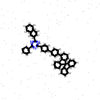 c1ccc(-c2nc(-c3ccc(-c4ccc(-c5cccc6c5-c5ccccc5C65c6ccccc6-c6ccccc65)cc4)cc3)nc(-c3ccc4ccccc4c3)n2)cc1